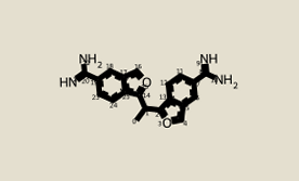 CC(c1occ2cc(C(=N)N)ccc12)c1occ2cc(C(=N)N)ccc12